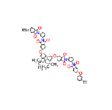 CCc1cccc(OC2C=C3C(=O)N(c4cccc(N5C(=O)c6ccc(Oc7ccc8c(c7)C(C)(C)CC87CC(C)(C)c8cc(Oc9ccc%10c(c9)C(=O)N(c9cccc(N%11C(=O)c%12ccc(C(C)(C)C)cc%12C%11=O)c9)C%10=O)ccc87)cc6C5=O)c4)C(=O)C3=CC2)c1